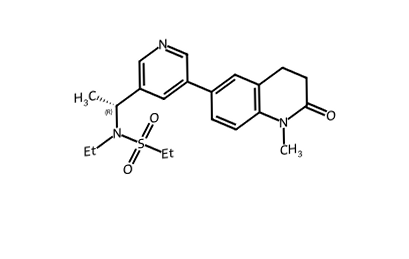 CCN([C@H](C)c1cncc(-c2ccc3c(c2)CCC(=O)N3C)c1)S(=O)(=O)CC